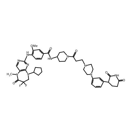 COc1cc(C(=O)NC2CCN(C(=O)CCN3CCN(c4cccc(C5CCC(=O)NC5=O)c4)CC3)CC2)ccc1Nc1ncc2c(n1)N(C1CCCC1)CC(F)(F)C(=O)N2C